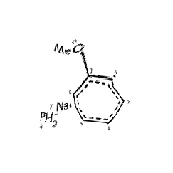 COc1c[c]ccc1.[Na+].[PH2-]